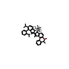 CCC1=Cc2c(ccc(C(C)C)c2-c2ccccc2C(C)C)[CH]1[Zr]([Cl])([Cl])([CH]1C(CC)=Cc2c1ccc(C(C)C)c2-c1ccccc1C(C)C)[SiH](C)C